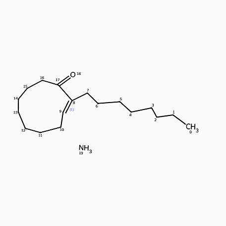 CCCCCCCC/C1=C\CCCCCCCC1=O.N